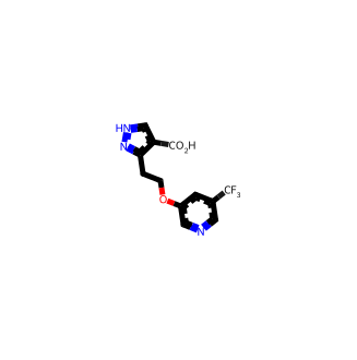 O=C(O)c1c[nH]nc1CCOc1cncc(C(F)(F)F)c1